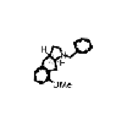 COc1cccc2c1C[C@H]1[C@@H](CCN1Cc1ccccc1)C2